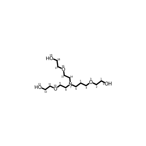 OCCOCCCN(CCOCCO)CCOCCO